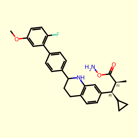 COc1ccc(F)c(-c2ccc(C3CCc4ccc([C@H](C5CC5)[C@H](C)C(=O)ON)cc4N3)cc2)c1